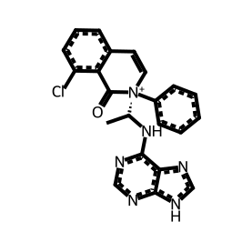 CC(Nc1ncnc2[nH]cnc12)[N@@+]1(c2ccccc2)C=Cc2cccc(Cl)c2C1=O